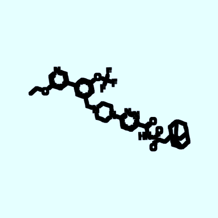 CCOc1cncc(-c2cc(CN3CCN(c4ccc(C(=O)NS(=O)(=O)CC56CC7CC(CC(C7)C5)C6)nn4)CC3)cc(OC(F)(F)F)c2)c1